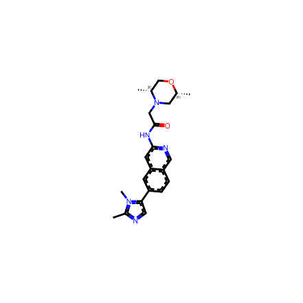 Cc1ncc(-c2ccc3cnc(NC(=O)CN4C[C@@H](C)OC[C@H]4C)cc3c2)n1C